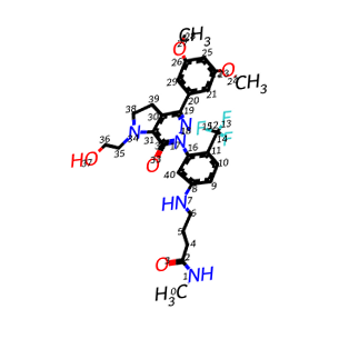 CNC(=O)CCCNc1ccc(C(F)(F)F)c(-n2nc(-c3cc(OC)cc(OC)c3)c3c(c2=O)N(CCO)CC3)c1